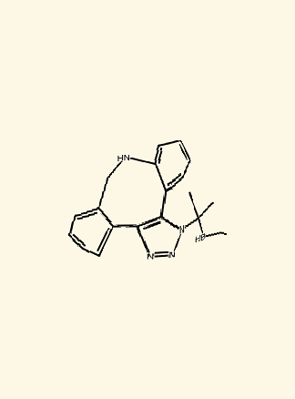 CBC(C)(C)n1nnc2c1-c1ccccc1NCc1ccccc1-2